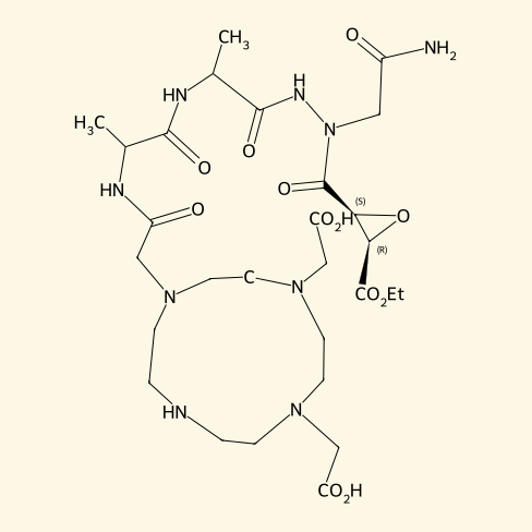 CCOC(=O)[C@@H]1O[C@@H]1C(=O)N(CC(N)=O)NC(=O)C(C)NC(=O)C(C)NC(=O)CN1CCNCCN(CC(=O)O)CCN(CC(=O)O)CC1